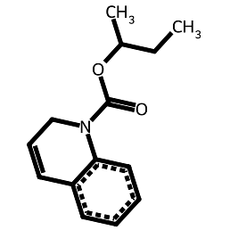 CCC(C)OC(=O)N1CC=Cc2ccccc21